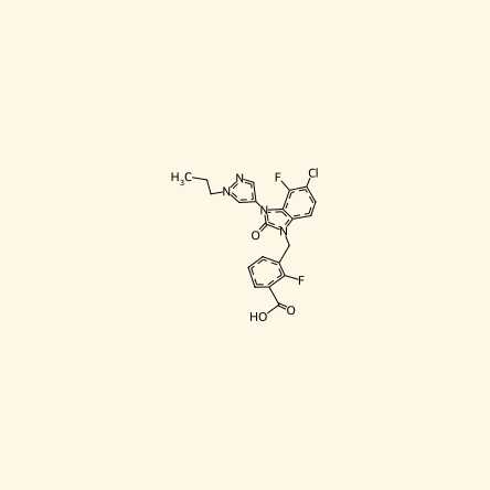 CCCn1cc(-n2c(=O)n(Cc3cccc(C(=O)O)c3F)c3ccc(Cl)c(F)c32)cn1